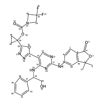 CC1(C)OC(=O)c2ccc(Nc3ncc(-c4nnc(C5(OC(=O)N6CC(F)(F)C6)CC5)o4)c(NC(CO)c4ccccc4)n3)cc21